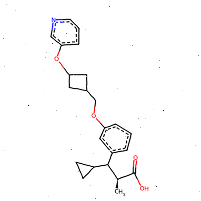 C[C@H](C(=O)O)C(c1cccc(OCC2CC(Oc3cccnc3)C2)c1)C1CC1